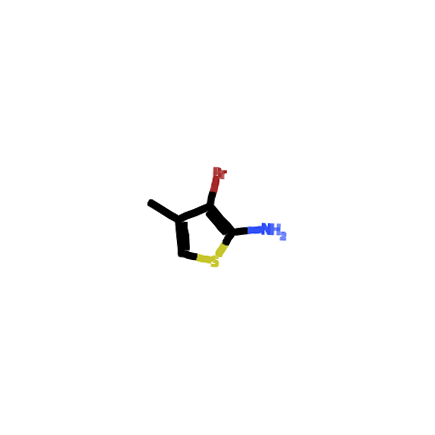 Cc1csc(N)c1Br